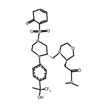 CN(C)C(=O)C[C@@H]1COCCN1C[C@H]1CN(S(=O)(=O)C2=CC=CCC2=S)CCN1c1ccc([C@@](C)(O)C(F)(F)F)cc1